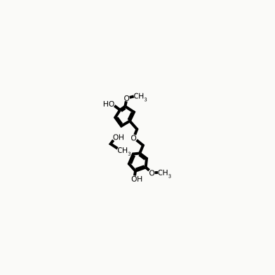 CCO.COc1cc(COCc2ccc(O)c(OC)c2)ccc1O